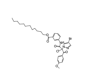 CCCCCCCCCCCCOC(=O)c1cccc(NC(=O)C(Cl)(C(=O)c2ccc(OC)cc2)n2cc(Br)cn2)c1